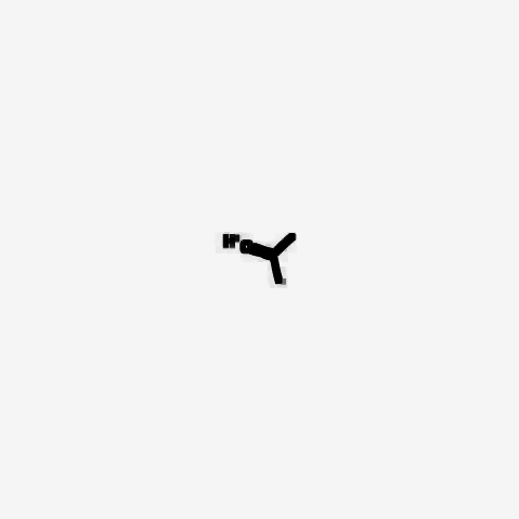 [CH2]C(C)=O.[H+]